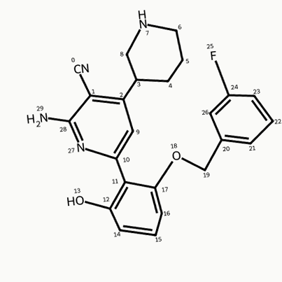 N#Cc1c(C2CCCNC2)cc(-c2c(O)cccc2OCc2cccc(F)c2)nc1N